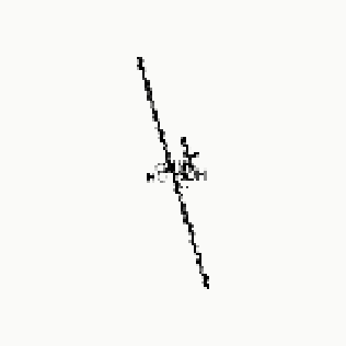 CCCCCCCCCCCCCCCCCCCCCCC(C(=O)O)C(CCCCCCCCCCCCCCCCCCCCCC)C(NC(=O)C(CC)CCCC)C(=O)O